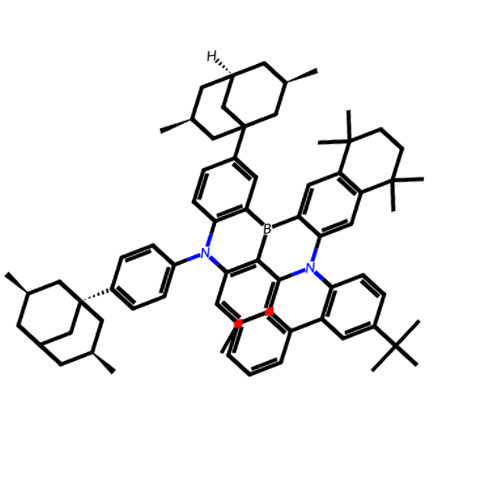 Cc1cc2c3c(c1)N(c1ccc(C(C)(C)C)cc1-c1ccccc1)c1cc4c(cc1B3c1cc(C35C[C@H](C)C[C@H](C[C@H](C)C3)C5)ccc1N2c1ccc([C@]23CC(C[C@@H](C)C2)C[C@H](C)C3)cc1)C(C)(C)CCC4(C)C